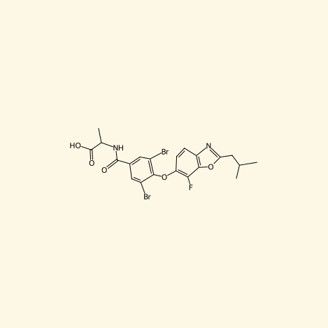 CC(C)Cc1nc2ccc(Oc3c(Br)cc(C(=O)NC(C)C(=O)O)cc3Br)c(F)c2o1